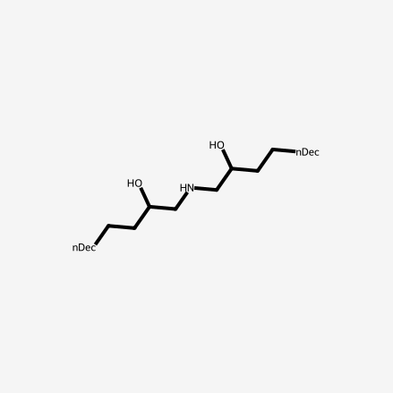 CCCCCCCCCCCCC(O)CNCC(O)CCCCCCCCCCCC